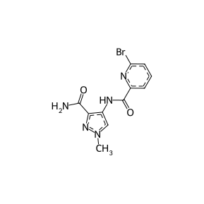 Cn1cc(NC(=O)c2cccc(Br)n2)c(C(N)=O)n1